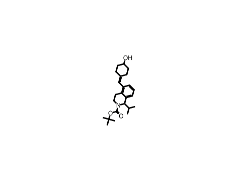 CC(C)C1c2cccc(C=C3CCC(O)CC3)c2CCN1C(=O)OC(C)(C)C